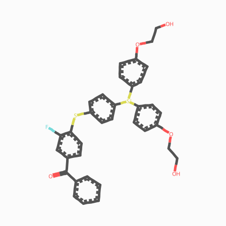 O=C(c1ccccc1)c1ccc(Sc2ccc([S+](c3ccc(OCCO)cc3)c3ccc(OCCO)cc3)cc2)c(F)c1